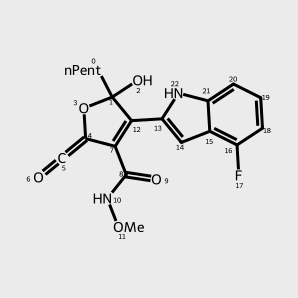 CCCCCC1(O)OC(=C=O)C(C(=O)NOC)=C1c1cc2c(F)cccc2[nH]1